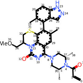 C=CC(=O)N1[C@H](C)CN(c2nc(=O)n3c4c(c(-c5c(C)ccc6[nH]ncc56)c(C)cc24)SCC3COC)C[C@@H]1C